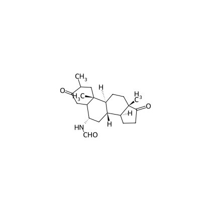 CC1C[C@@]2(C)C(CC1=O)[C@@H](NC=O)C[C@@H]1[C@@H]2CC[C@]2(C)C(=O)CC[C@@H]12